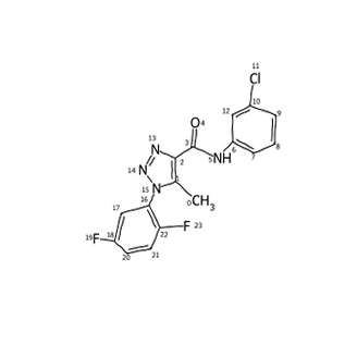 Cc1c(C(=O)Nc2cccc(Cl)c2)nnn1-c1cc(F)ccc1F